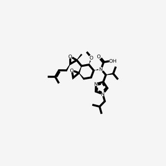 CO[C@@H]1[C@H](N(C(=O)O)[C@H](c2cn(CC(C)C)cn2)C(C)C)CC[C@]2(CO2)[C@H]1[C@@]1(C)O[C@@H]1CC=C(C)C